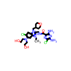 CCn1c(CNC(=O)c2nc(Cl)c(N)nc2N)[n+](CC2CCOCC2)c2cc(Cl)c(N(CCO)CCO)cc21